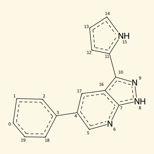 c1ccc(-c2cnc3[nH]nc(-c4ccc[nH]4)c3c2)cc1